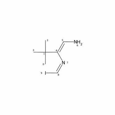 CC(C)(C)C(=C/N)/N=C\I